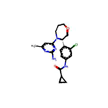 Cc1cc(N2CCCOC[C@@H]2c2ccc(NC(=O)C3CC3)cc2Cl)nc(N)n1